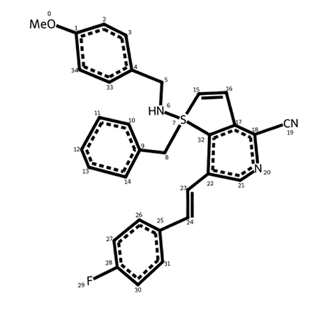 COc1ccc(CNS2(Cc3ccccc3)C=Cc3c(C#N)ncc(C=Cc4ccc(F)cc4)c32)cc1